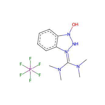 CN(C)C(N(C)C)=[N+]1NN(O)c2ccccc21.F[P-](F)(F)(F)(F)F